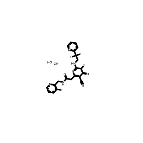 Cl.Cl.N#CC1=C(CC(=O)NCc2ncccc2F)N=C(NCC(F)(F)c2ccccn2)C(F)C1=O